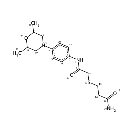 CC1CN(c2ccc(NC(=O)CSCCC(N)=O)cc2)CC(C)O1